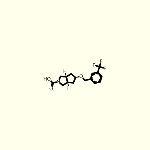 O=C(O)N1C[C@H]2C[C@H](OCc3cccc(C(F)(F)F)c3)C[C@H]2C1